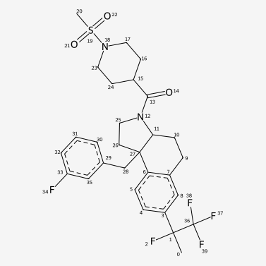 CC(F)(c1ccc2c(c1)CCC1N(C(=O)C3CCN(S(C)(=O)=O)CC3)CCC21Cc1cccc(F)c1)C(F)(F)F